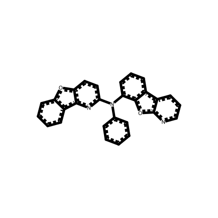 c1ccc(N(c2ccc3oc4ccccc4c3n2)c2cccc3c2oc2ncccc23)cc1